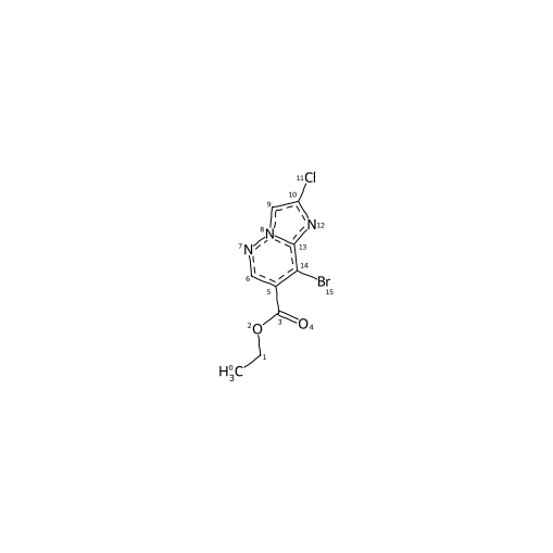 CCOC(=O)c1cnn2cc(Cl)nc2c1Br